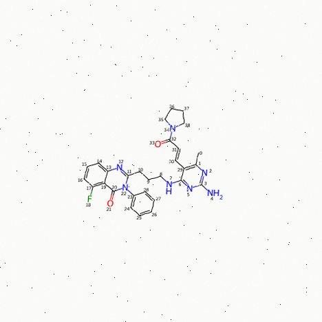 Cc1nc(N)nc(NCCCc2nc3cccc(F)c3c(=O)n2-c2ccccc2)c1/C=C/C(=O)N1CCCC1